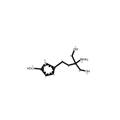 CCCCCCCCc1ccc(CCC(CO)(CO)NC(C)=O)s1